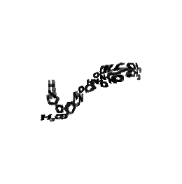 COc1cc2cnc(Oc3cccc(NC(=O)N(C(=O)O)c4cc(C(C)(C)C)on4)c3)nc2cc1O[C@@H]1CCNC1